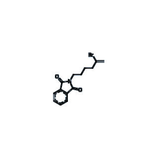 C=C(Br)CCCCN1C(=O)c2ccccc2C1=O